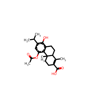 CC(=O)Oc1cc(C(C)C)c(O)c2c1C1(C)CCC(C(=O)O)=C(C)C1CC2